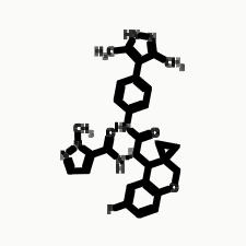 Cc1n[nH]c(C)c1-c1ccc(NC(=O)[C@@H](NC(=O)c2ccnn2C)C2c3cc(F)ccc3OCC23CC3)cc1